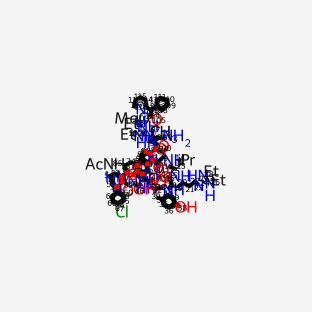 CCNC(=NCCCC[C@H](NC(=O)[C@H](CC(C)C)NC(=O)[C@@H](CCCCN=C(NCC)NCC)NC(=O)[C@H](Cc1ccc(O)cc1)NC(=O)[C@H](CO)NC(=O)[C@@H](Cc1cccnc1)NC(=O)[C@@H](Cc1ccc(Cl)cc1)NC(=O)[C@@H](Cc1cccc2ccccc12)NC(C)=O)C(=O)N1CCC[C@H]1C(=O)N[C@H](C)C(N)=O)NCC.COC(=O)C(c1ccccc1)C1CCCCN1